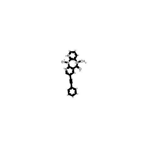 CCN1c2ncc(C#Cc3ccccc3)cc2C(=O)N(C)c2cccnc21